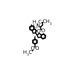 CCOC(=O)c1ccc(C[C@@]2(C3=Cc4ccccc4C3)Cc3ccccc3[C@H]2OC(=O)[C@@H](N)CC(C)C)cc1